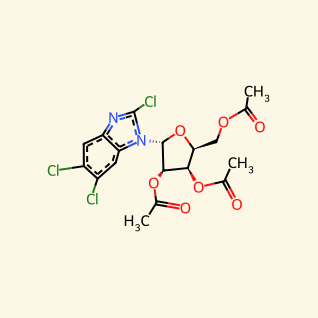 CC(=O)OC[C@@H]1O[C@@H](n2c(Cl)nc3cc(Cl)c(Cl)cc32)[C@H](OC(C)=O)[C@@H]1OC(C)=O